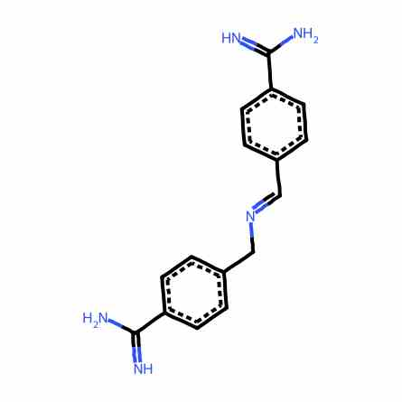 N=C(N)c1ccc(C=NCc2ccc(C(=N)N)cc2)cc1